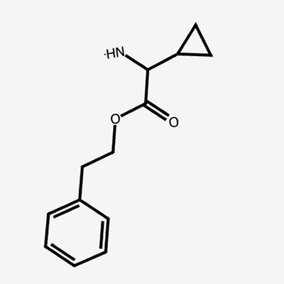 [NH]C(C(=O)OCCc1ccccc1)C1CC1